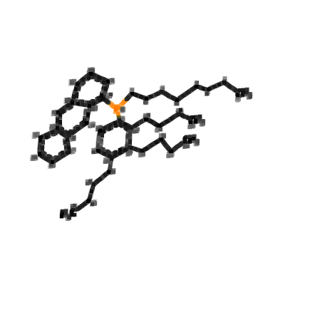 CCCCCCCCP(c1ccc(CCCC)c(CCCC)c1CCCC)c1cccc2cc3ccccc3cc12